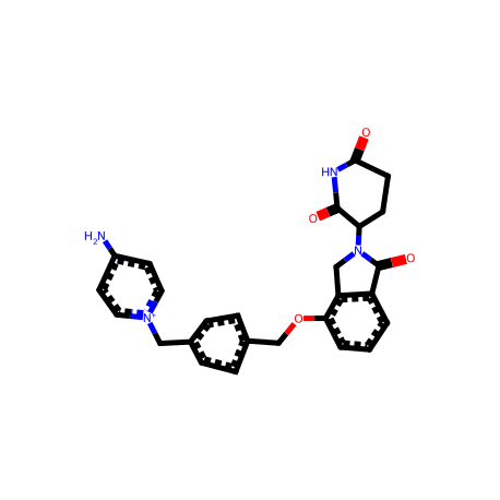 Nc1cc[n+](Cc2ccc(COc3cccc4c3CN(C3CCC(=O)NC3=O)C4=O)cc2)cc1